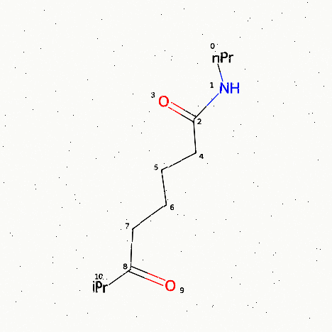 CCCNC(=O)CCCCC(=O)C(C)C